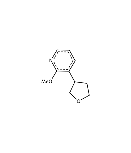 COc1ncccc1C1CCOC1